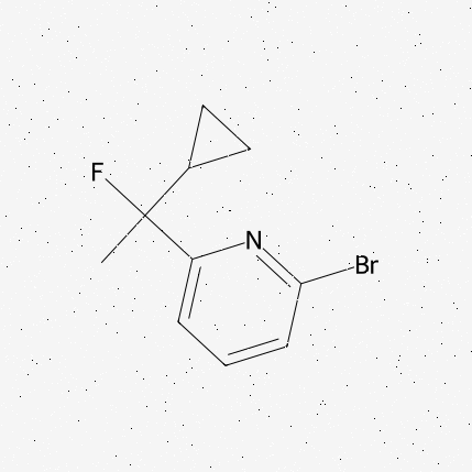 CC(F)(c1cccc(Br)n1)C1CC1